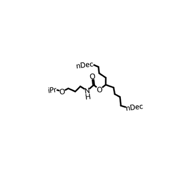 CCCCCCCCCCCCCCC(CCCCCCCCCCCCC)OC(=O)NCCCOC(C)C